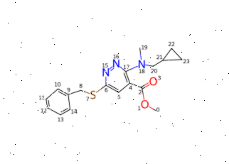 COC(=O)c1cc(SCc2ccccc2)nnc1N(C)CC1CC1